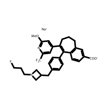 COc1cc(C2=C(c3ccc(CC4CN(CCCF)C4)cc3)c3ccc(C(=O)[O-])cc3CCC2)cc(C(F)(F)F)n1.[Na+]